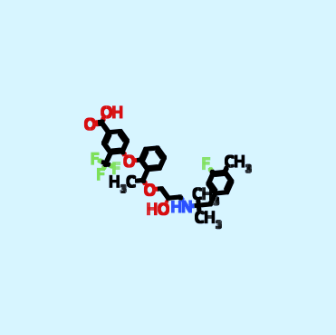 Cc1ccc(CC(C)(C)NC[C@H](O)COC(C)c2ccccc2Oc2ccc(C(=O)O)cc2C(F)(F)F)cc1F